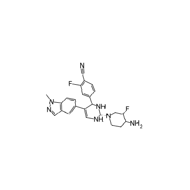 Cn1ncc2cc(C3=CNC(N4CCC(N)C(F)C4)NC3c3ccc(C#N)c(F)c3)ccc21